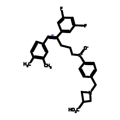 Cc1ccc(/C=C(\CCC[S+]([O-])c2ccc(CN3CC(C(=O)O)C3)cc2)c2cc(F)cc(F)c2)cc1C